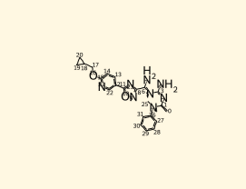 C=C(/N=C(N)\N=C(/N)c1noc(-c2ccc(OCC3CC3)nc2)n1)N(C)c1ccccc1